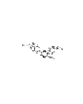 CCS(=O)(=O)c1ccc(-c2cnc(N)c(-c3ccc(C)nc3)n2)cc1